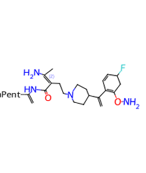 C=C(CCCCC)NC(=O)/C(CCN1CCC(C(=C)C2=C(ON)CC(F)C=C2)CC1)=C(/C)N